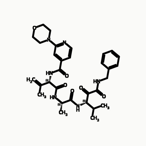 C=C(C)[C@H](NC(=O)c1ccnc(N2CCOCC2)c1)C(=O)N[C@@H](C)C(=O)N[C@H](C(=O)C(=O)NCc1ccccc1)C(C)C